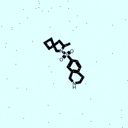 CC1CC2(CCC2)CN1S(=O)(=O)c1ccc2c(c1)CNCC2